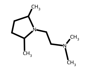 CC1CCC(C)N1CCN(C)C